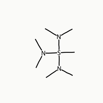 CN(C)S(C)(N(C)C)N(C)C